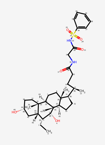 CC[C@H]1[C@@H](O)[C@@H]2[C@H](CC[C@]3(C)[C@@H]([C@H](C)CCC(=O)NCC(=O)NS(=O)(=O)c4ccccc4)CC[C@@H]23)[C@@]2(C)CC[C@@H](O)C[C@@H]12